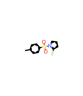 Cc1ccc(S(=O)(=O)n2cccc2F)cc1